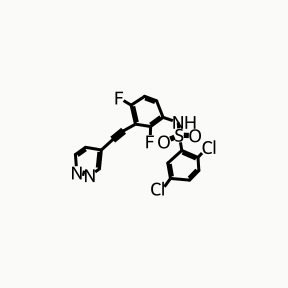 O=S(=O)(Nc1ccc(F)c(C#Cc2ccnnc2)c1F)c1cc(Cl)ccc1Cl